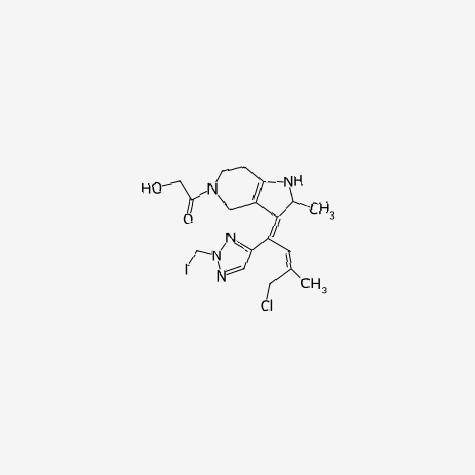 C/C(=C/C(=C1/C2=C(CCN(C(=O)CO)C2)NC1C)c1cnn(CI)n1)CCl